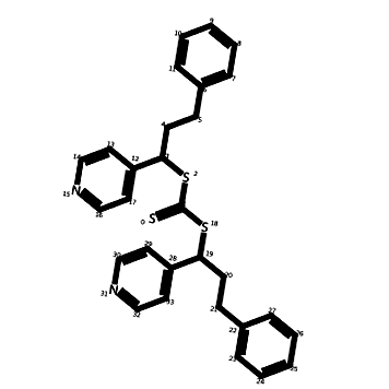 S=C(SC(CCc1ccccc1)c1ccncc1)SC(CCc1ccccc1)c1ccncc1